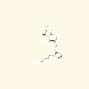 CCCCCNC1C(=O)N2C(C(=O)O)=C(CSc3nnnn3CCNCC(=O)O)CS[C@@H]12